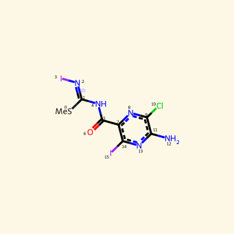 CS/C(=N\I)NC(=O)c1nc(Cl)c(N)nc1I